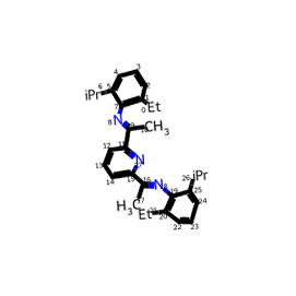 CCc1cccc(C(C)C)c1N=C(C)c1cccc(C(C)=Nc2c(CC)cccc2C(C)C)n1